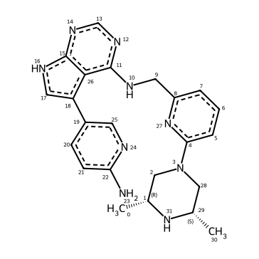 C[C@@H]1CN(c2cccc(CNc3ncnc4[nH]cc(-c5ccc(N)nc5)c34)n2)C[C@H](C)N1